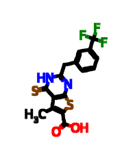 Cc1c(C(=O)O)sc2nc(Cc3cccc(C(F)(F)F)c3)[nH]c(=S)c12